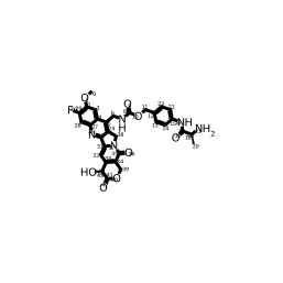 COc1cc2c(CNC(=O)OCc3ccc(NC(=O)[C@H](C)N)cc3)c3c(nc2cc1F)-c1cc2c(c(=O)n1C3)COC(=O)[C@H]2O